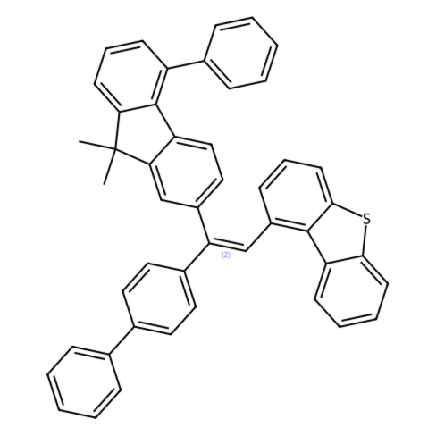 CC1(C)c2cc(/C(=C\c3cccc4sc5ccccc5c34)c3ccc(-c4ccccc4)cc3)ccc2-c2c(-c3ccccc3)cccc21